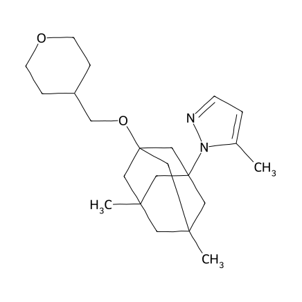 Cc1ccnn1C12CC3(C)CC(C)(CC(OCC4CCOCC4)(C3)C1)C2